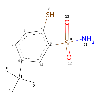 CC(C)(C)c1ccc(S)c(S(N)(=O)=O)c1